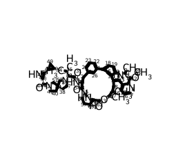 CCn1c(-c2cccnc2[C@H](C)OC)c2c3cc(ccc31)-c1cccc(c1)C[C@H](NC(=O)[C@H](C(C)C)N1CC[C@]3(CCN(C(=O)[C@@H]4N[C@@H]4C4CC4)C3)C1)C(=O)N1CCC[C@H](N1)C(=O)OCC(C)(C)C2